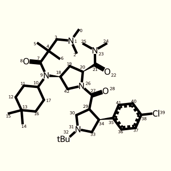 CN(C)CC(C)(C)C(=O)N(C1CCC(C)(C)CC1)[C@H]1C[C@@H](C(=O)N(C)C)N(C(=O)C2CN(C(C)(C)C)C[C@@H]2c2ccc(Cl)cc2)C1